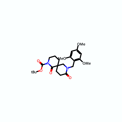 COc1cc(OC)c(CN2CC3(CCCN(C(=O)OC(C)(C)C)C3=O)CCC2=O)c(OC)c1